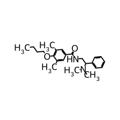 CCCCOc1c(C)cc(C(=O)NCC(c2ccccc2)N(C)C)cc1C